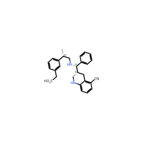 C[C@H](CN[C@H](c1ccccc1)[C@H]1CNc2cccc(C#N)c2C1)c1cccc(CC(=O)O)c1